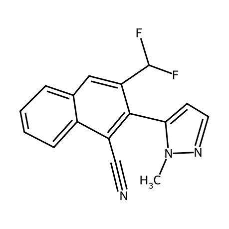 Cn1nccc1-c1c(C(F)F)cc2ccccc2c1C#N